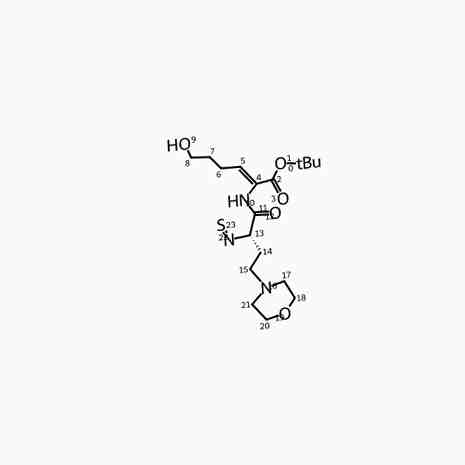 CC(C)(C)OC(=O)/C(=C/CCCO)NC(=O)[C@H](CCN1CCOCC1)N=S